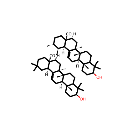 CC1(C)CC[C@]2(C(=O)O)CC[C@]3(C)C(=CC[C@@H]4[C@@]5(C)CC[C@H](O)C(C)(C)C5CC[C@]43C)[C@H]2C1.C[C@H]1[C@H](C)CC[C@]2(C(=O)O)CC[C@]3(C)C(=CC[C@@H]4[C@@]5(C)CC[C@H](O)C(C)(C)C5CC[C@]43C)[C@@H]12